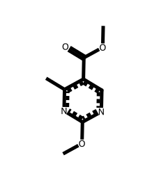 COC(=O)c1cnc(OC)nc1C